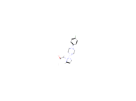 CC1=CCN(N2CCN(c3ccc(F)cc3)CC2)N1CC=O